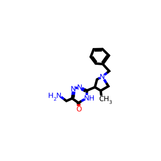 CC1CN(Cc2ccccc2)CC1c1nnc(CN)c(=O)[nH]1